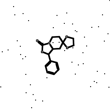 O=C1OC(c2ccccc2)C2CC3(CCN12)OCCO3